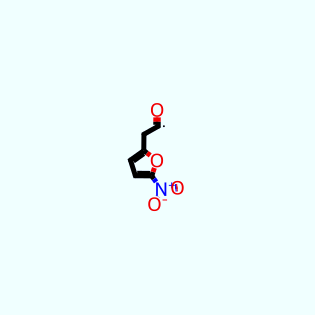 O=[C]Cc1ccc([N+](=O)[O-])o1